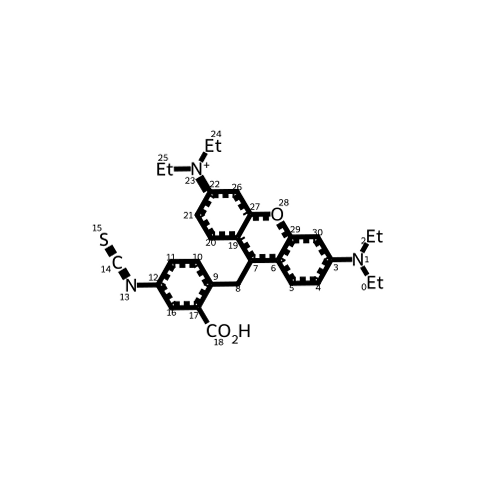 CCN(CC)c1ccc2c(Cc3ccc(N=C=S)cc3C(=O)O)c3ccc(=[N+](CC)CC)cc-3oc2c1